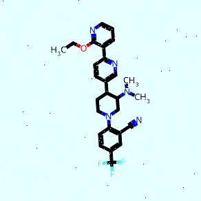 CCOc1ncccc1-c1ccc(C2CCN(c3ccc(C(F)(F)F)cc3C#N)CC2N(C)C)cn1